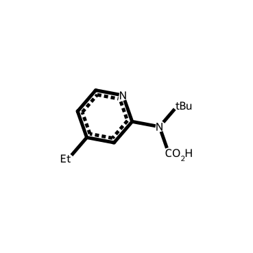 CCc1ccnc(N(C(=O)O)C(C)(C)C)c1